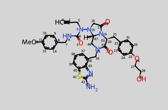 C#CCN(C(=O)NCc1ccc(OC)cc1)N1CC(=O)N2[C@@H](Cc3ccc(OCCO)cc3)C(=O)N(Cc3cccc4sc(N)nc34)C[C@@H]21